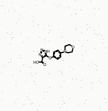 O=C(O)c1nn[nH]c1Oc1ccc(N2CCOCC2)cc1